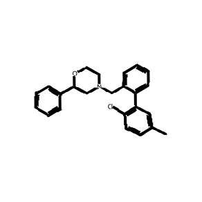 Cc1ccc(Cl)c(-c2ccccc2CN2CCOC(c3ccccc3)C2)c1